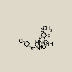 COc1cc(F)c(C2CNC(=O)[C@@H]2Nc2nnc(C3CC3c3ccc(Cl)cc3)o2)c(F)c1